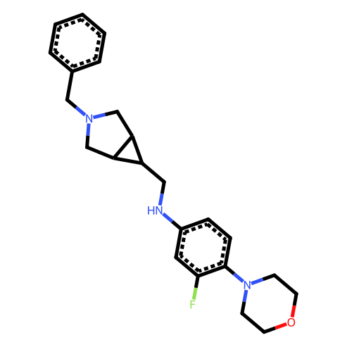 Fc1cc(NCC2C3CN(Cc4ccccc4)CC23)ccc1N1CCOCC1